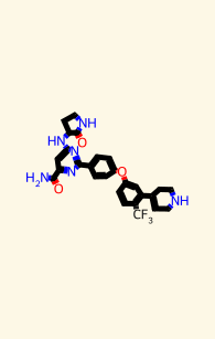 NC(=O)c1cc(NC2CCNC2=O)nc(-c2ccc(Oc3ccc(C(F)(F)F)c(C4=CCNCC4)c3)cc2)n1